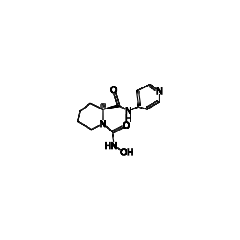 O=C(Nc1ccncc1)[C@@H]1CCCCN1C(=O)NO